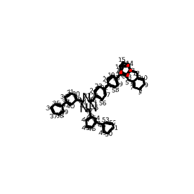 C1=CC2=C(C1)C1c3ccccc3C2c2cccc(-c3ccc(-c4ccc(-c5nc(-c6cccc(-c7ccccc7)c6)nc(-c6cccc(-c7ccccc7)c6)n5)cc4)cc3)c21